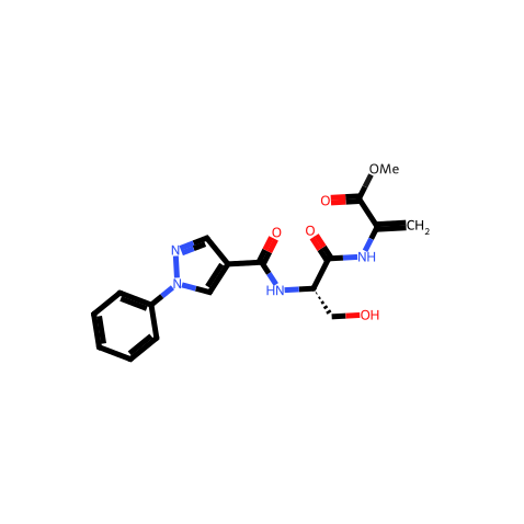 C=C(NC(=O)[C@H](CO)NC(=O)c1cnn(-c2ccccc2)c1)C(=O)OC